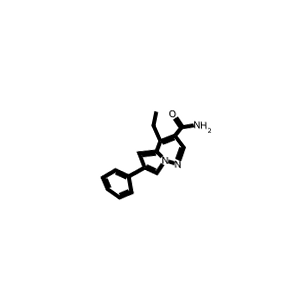 CCc1c(C(N)=O)cnn2cc(-c3ccccc3)cc12